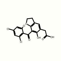 O=C(O)Cc1cc2c(c(C(=O)c3c(Cl)cc(Cl)cc3Cl)c1O)OCC2